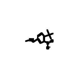 CNCc1ccc(C(C)(C)C)c([N+](=O)[O-])c1